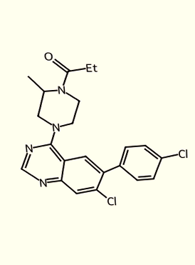 CCC(=O)N1CCN(c2ncnc3cc(Cl)c(-c4ccc(Cl)cc4)cc23)CC1C